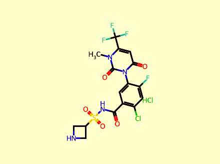 Cl.Cn1c(C(F)(F)F)cc(=O)n(-c2cc(C(=O)NS(=O)(=O)C3CNC3)c(Cl)cc2F)c1=O